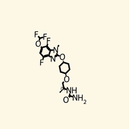 C[C@@H](CO[C@H]1CC[C@H](Oc2nc3c(F)cc(OC(F)F)c(F)c3n2C)CC1)NC(N)=O